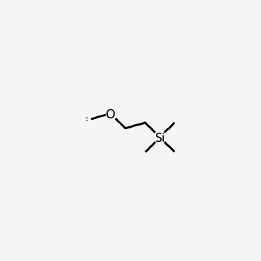 [CH]OCC[Si](C)(C)C